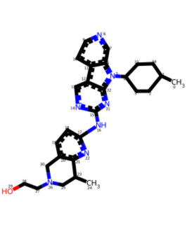 CC1CCC(n2c3cnccc3c3cnc(Nc4ccc5c(n4)C(C)CN(CCO)C5)nc32)CC1